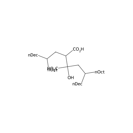 CCCCCCCCCCC(CCCCCCCC)CC(C(=O)O)C(O)(CC(CCCCCCCC)CCCCCCCCCC)C(=O)O